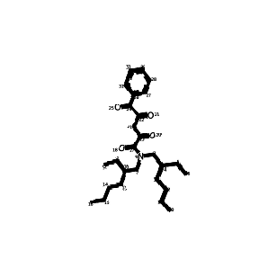 CCCCC(CC)CN(CC(CC)CCCC)C(=O)C(=O)CC(=O)C(=O)c1ccccc1